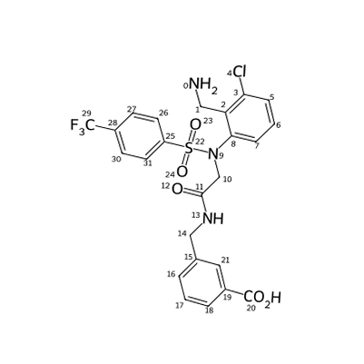 NCc1c(Cl)cccc1N(CC(=O)NCc1cccc(C(=O)O)c1)S(=O)(=O)c1ccc(C(F)(F)F)cc1